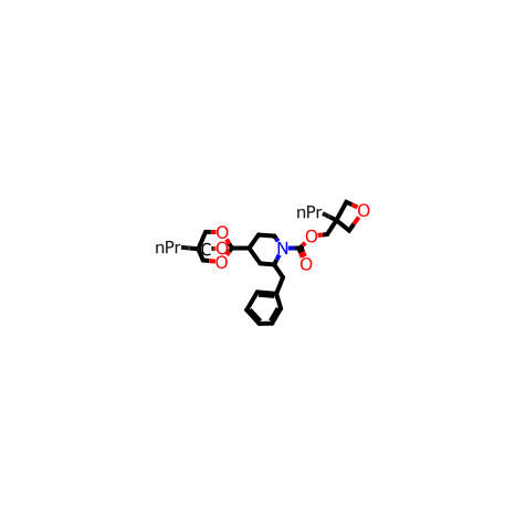 CCCC1(COC(=O)N2CCC(C34OCC(CCC)(CO3)CO4)CC2Cc2ccccc2)COC1